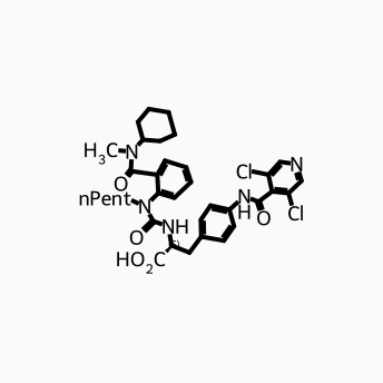 CCCCCN(C(=O)N[C@@H](Cc1ccc(NC(=O)c2c(Cl)cncc2Cl)cc1)C(=O)O)c1ccccc1C(=O)N(C)C1CCCCC1